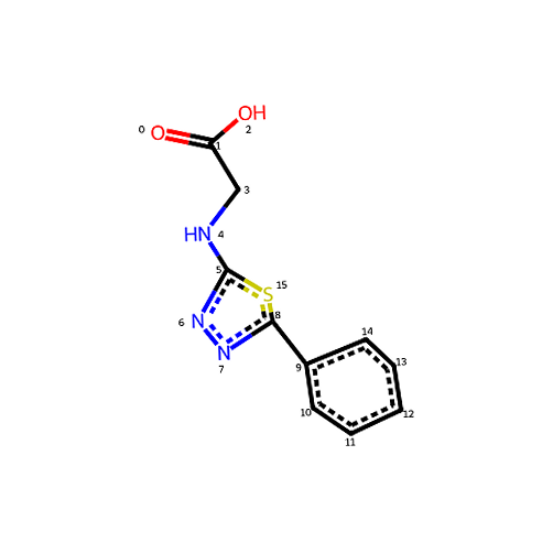 O=C(O)CNc1nnc(-c2ccccc2)s1